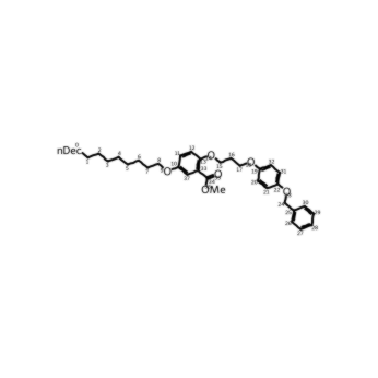 CCCCCCCCCCCCCCCCCCOc1ccc(OCCCOc2ccc(OCc3ccccc3)cc2)c(C(=O)OC)c1